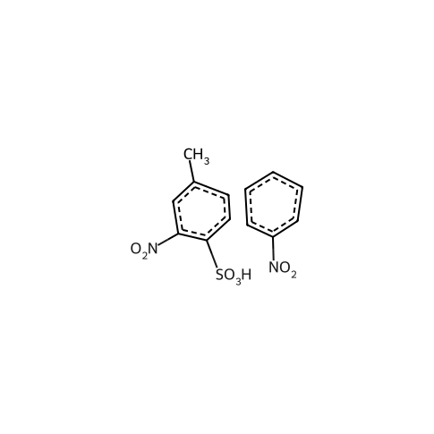 Cc1ccc(S(=O)(=O)O)c([N+](=O)[O-])c1.O=[N+]([O-])c1ccccc1